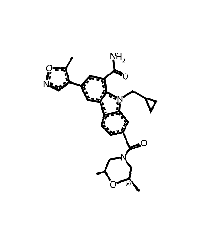 Cc1oncc1-c1cc(C(N)=O)c2c(c1)c1ccc(C(=O)N3CC(C)O[C@H](C)C3)cc1n2CC1CC1